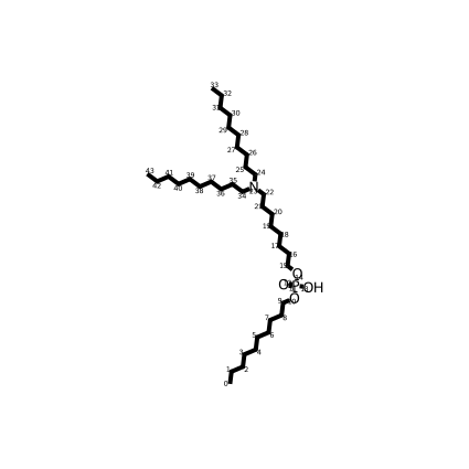 CCCCCCCCCCOP(=O)(O)OCCCCCCCCN(CCCCCCCCCC)CCCCCCCCCC